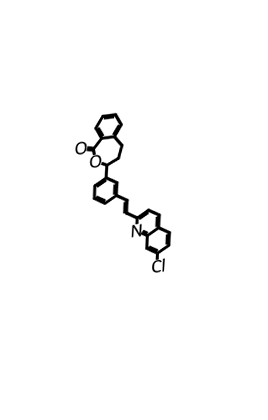 O=C1OC(c2cccc(C=Cc3ccc4ccc(Cl)cc4n3)c2)CCc2ccccc21